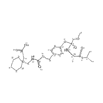 COCP(=O)(N[C@@H](C)C(=O)OC(C)C)Oc1ccc(COC(=O)NCC2(CC(=O)O)CCCCC2)cc1